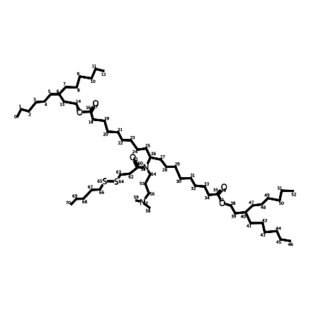 CCCCCCC(CCCCCC)CCOC(=O)CCCCCCCCC(CCCCCCCCC(=O)OCCC(CCCCCC)CCCCCC)N(CCCN(C)C)C(=O)CCSSCCCCC